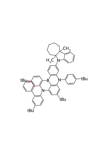 CC(C)(C)c1ccc(N2c3cc(N4c5ccccc5C5(C)CCCCCC45C)ccc3B3c4ccc(C(C)(C)C)cc4N(c4ccc(C(C)(C)C)cc4-c4ccccc4)c4cc(C(C)(C)C)cc2c43)cc1